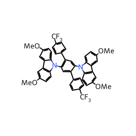 COc1ccc2c(c1)c1cc(OC)ccc1n2-c1cc(-c2ccc(C(F)(F)F)cc2)c(-n2c3ccc(OC)cc3c3cc(OC)ccc32)cc1-c1ccc(C(F)(F)F)cc1